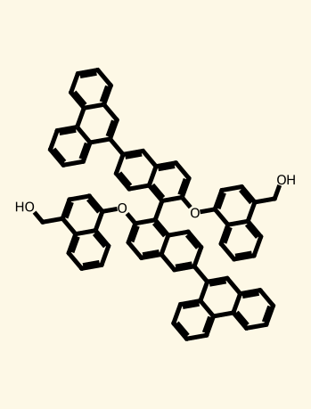 OCc1ccc(Oc2ccc3cc(-c4cc5ccccc5c5ccccc45)ccc3c2-c2c(Oc3ccc(CO)c4ccccc34)ccc3cc(-c4cc5ccccc5c5ccccc45)ccc23)c2ccccc12